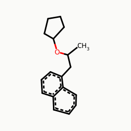 CC(Cc1cccc2ccccc12)OC1CCCC1